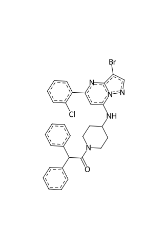 O=C(C(c1ccccc1)c1ccccc1)N1CCC(Nc2cc(-c3ccccc3Cl)nc3c(Br)cnn23)CC1